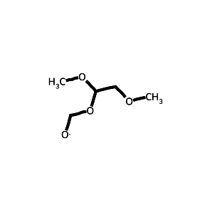 COCC(OC)OC[O]